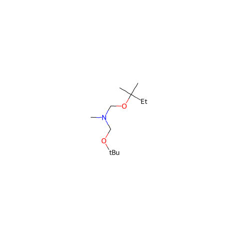 CCC(C)(C)OCN(C)COC(C)(C)C